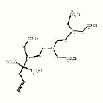 C=CCC(C(=O)OCC)(C(=O)OCC)N(CCN(CCN(CC(=O)OCC)CC(=O)OCC)CC(=O)OCC)CC(=O)OCC